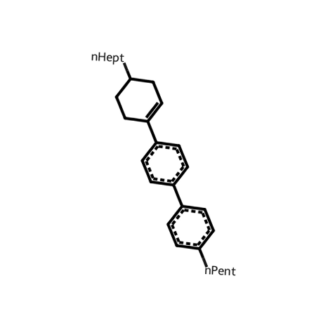 CCCCCCCC1CC=C(c2ccc(-c3ccc(CCCCC)cc3)cc2)CC1